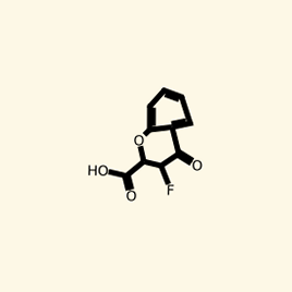 O=C1c2ccccc2OC(C(=O)O)C1F